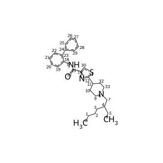 CCCCC(CC)CN1CCC(c2nc(C(=O)Nc3ccccc3-c3ccccc3)cs2)CC1